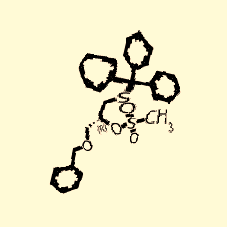 CS(=O)(=O)O[C@H](COCc1ccccc1)CSC(c1ccccc1)(c1ccccc1)c1ccccc1